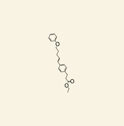 CCOC(=O)CCc1ccc(C=CCCCOc2ccccc2)cc1